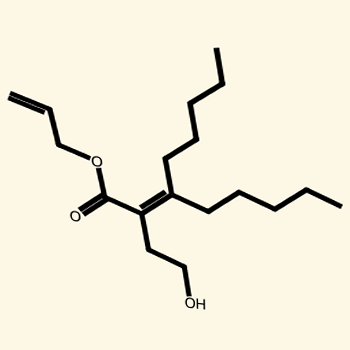 C=CCOC(=O)C(CCO)=C(CCCCC)CCCCC